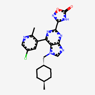 Cc1ncc(Cl)cc1-c1nc(-c2noc(=O)[nH]2)nc2ncn(C[C@H]3CC[C@H](C)CC3)c12